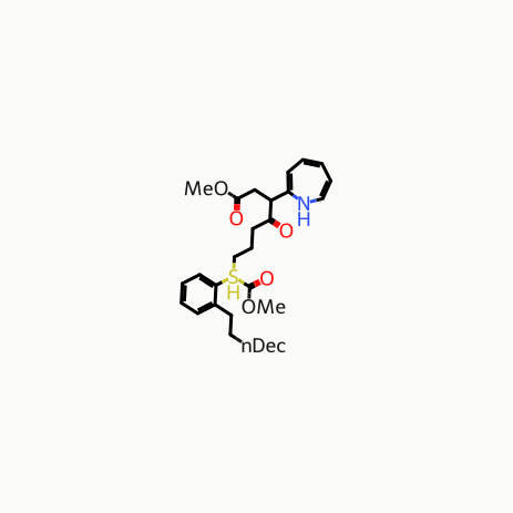 CCCCCCCCCCCCc1ccccc1[SH](CCCC(=O)C(CC(=O)OC)C1=CC=CC=CN1)C(=O)OC